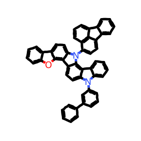 c1ccc(-c2cccc(-n3c4ccccc4c4c3ccc3c5c6oc7ccccc7c6ccc5n(-c5ccc6c7c(cccc57)-c5ccccc5-6)c34)c2)cc1